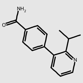 CC(C)c1ncccc1-c1ccc(C(N)=O)cc1